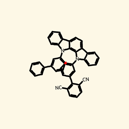 N#Cc1cccc(C#N)c1-c1cccc(-n2c3ccccc3c3ccc4c5ccccc5n(-c5cccc(-c6ccccc6)c5)c4c32)c1